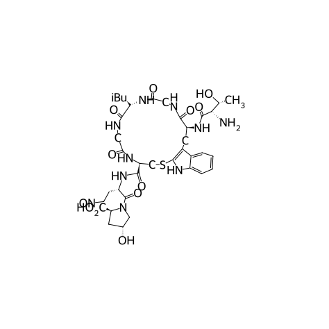 CC[C@H](C)[C@@H]1NC(=O)CNC(=O)[C@@H](NC(=O)[C@@H](N)[C@@H](C)O)Cc2c([nH]c3ccccc23)SC[C@@H](C(=O)N[C@@H](CCN=O)C(=O)N2C[C@H](O)C[C@H]2C(=O)O)NC(=O)CNC1=O